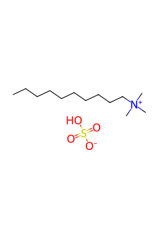 CCCCCCCCCC[N+](C)(C)C.O=S(=O)([O-])O